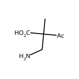 CC(=O)C(C)(CN)C(=O)O